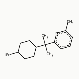 Cc1cccc(C(C)(C)C2CCC(C(C)C)CC2)n1